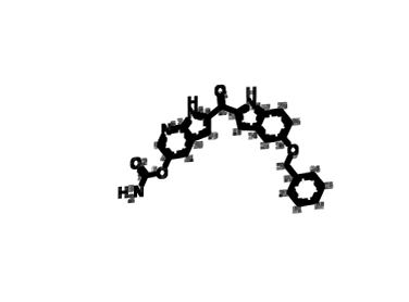 NC(=O)Oc1cnc2[nH]c(C(=O)c3cc4cc(OCc5ccccc5)ccc4[nH]3)cc2c1